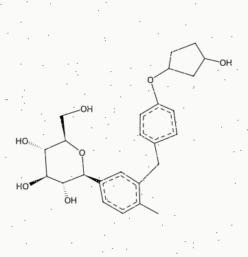 Cc1ccc([C@@H]2O[C@H](CO)[C@@H](O)[C@H](O)[C@H]2O)cc1Cc1ccc(OC2CCC(O)C2)cc1